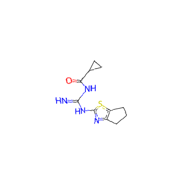 N=C(NC(=O)C1CC1)Nc1nc2c(s1)CCC2